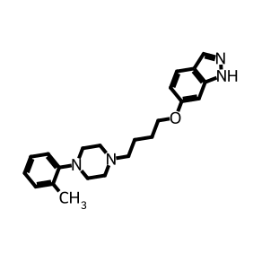 Cc1ccccc1N1CCN(CCCCOc2ccc3cn[nH]c3c2)CC1